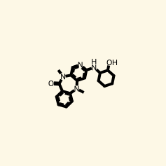 CN1C(=O)c2ccccc2N(C)c2cc(NC3CCCCC3O)ncc21